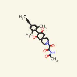 CC#Cc1cc(C)c(C2C(=O)CC3(CCN(C(=O)C(=O)NC(C)=O)CC3)CC2=O)c(C)c1